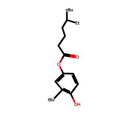 CCCCC(CC)CCCC(=O)Oc1ccc(O)c(C(C)(C)C)c1